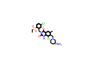 CCS(=O)(=O)c1ccc(Cl)cc1Cn1c(=O)[nH]c2c(Cl)c(CN3CCC[C@@H](N)C3)c(C)cc2c1=O